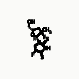 C[C@@]1(F)C[C@@H](CO)O[C@H]1n1cc(F)c(=S)[nH]c1=S